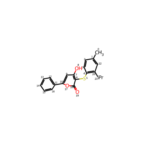 Cc1ccc(Sc2c(O)cc(-c3ccccc3)oc2=O)c(C(C)C)c1